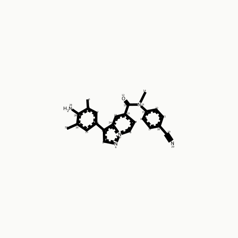 Cc1cc(-c2cnn3ccc(C(=O)N(C)c4ccc(C#N)cc4)cc23)cc(C)c1N